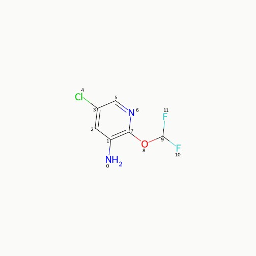 Nc1cc(Cl)cnc1OC(F)F